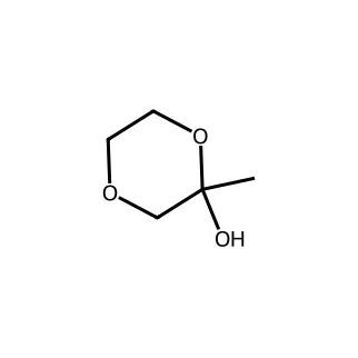 CC1(O)COCCO1